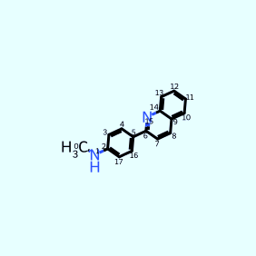 CNc1ccc(-c2ccc3ccccc3n2)cc1